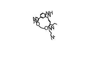 CCc1nn(CCCN(C)C)c2c1/C=C/c1n[nH]c3ccc(cc13)-c1cnn(C)c1OCCCO2